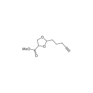 C#CCCCC1OCC(C(=O)OC)O1